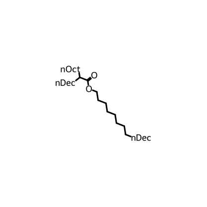 CCCCCCCCCCCCCCCCCCOC(=O)C(CCCCCCCC)CCCCCCCCCC